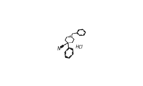 Cl.N#CC1(c2ccccc2)CCN(Cc2ccccc2)CC1